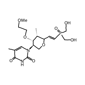 COCCO[C@@H]1[C@H](C)C(/C=C/P(=O)(CO)CO)OC[C@H]1n1cc(C)c(=O)[nH]c1=O